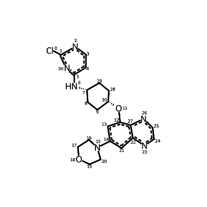 Clc1nccc(N[C@H]2CC[C@@H](Oc3cc(N4CCOCC4)cc4nccnc34)CC2)n1